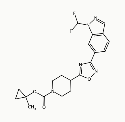 CC1(OC(=O)N2CCC(c3nc(-c4ccc5cnn(C(F)F)c5c4)no3)CC2)CC1